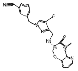 CN1C(=O)[C@@H](NCc2nn(Cc3cccc(C#N)c3)cc2F)COc2cccnc21